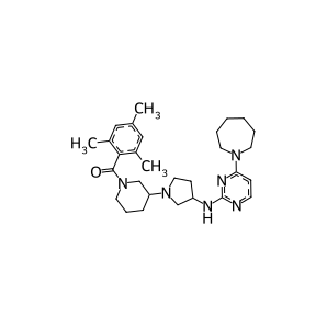 Cc1cc(C)c(C(=O)N2CCCC(N3CCC(Nc4nccc(N5CCCCCC5)n4)C3)C2)c(C)c1